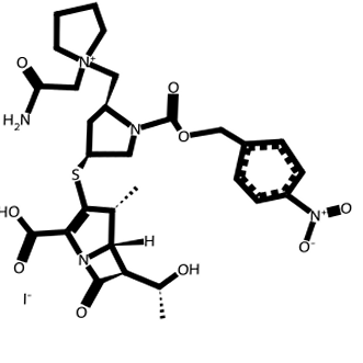 C[C@@H](O)[C@H]1C(=O)N2C(C(=O)O)=C(S[C@H]3C[C@@H](C[N+]4(CC(N)=O)CCCC4)N(C(=O)OCc4ccc([N+](=O)[O-])cc4)C3)[C@H](C)[C@H]12.[I-]